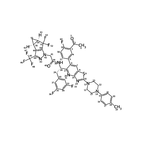 CC(=O)c1cc(-c2cc3sc(N4CCN(c5ccc(C)cc5)CC4)nc3nc2[C@H](Cc2cc(F)cc(F)c2)NC(=O)Cn2nc(C(F)(F)F)c3c2C(F)(F)[C@@H]2C[C@H]32)ccc1F